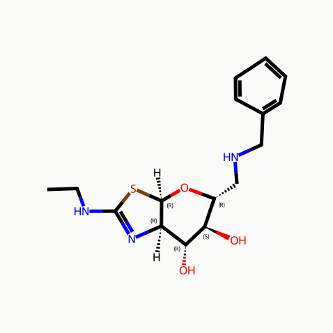 CCNC1=N[C@@H]2[C@@H](O)[C@H](O)[C@@H](CNCc3ccccc3)O[C@@H]2S1